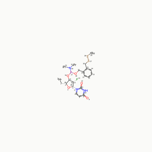 [2H]C[C@H]1O[C@@H](n2ccc(=O)[nH]c2=O)[C@@H](F)C1OP(OCc1ccccc1CSSC(C)(C)C)N(C(C)C)C(C)C